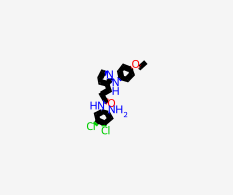 CCOc1ccc(Nc2ncccc2/C=C/C(=O)Nc2cc(Cl)c(Cl)cc2N)cc1